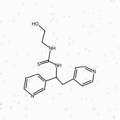 OCCNC(=S)NC(Cc1ccncc1)c1cccnc1